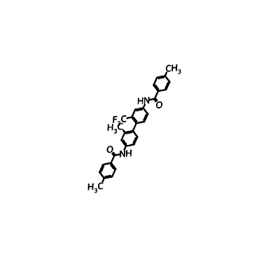 Cc1ccc(C(=O)Nc2ccc(-c3ccc(NC(=O)c4ccc(C)cc4)cc3C(F)(F)F)c(C)c2)cc1